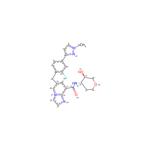 Cn1ccc(-c2ccc(Cc3cc(C(=O)N[C@H]4CCOC[C@@H]4O)c4nccn4c3)c(F)c2)n1